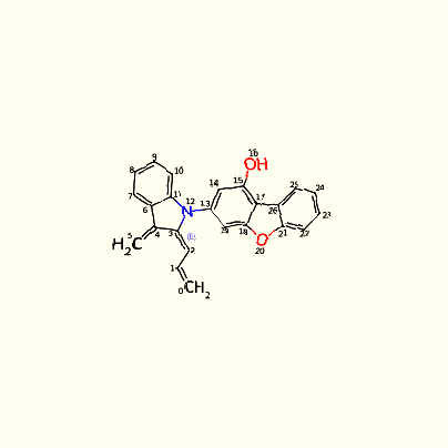 C=C/C=c1\c(=C)c2ccccc2n1-c1cc(O)c2c(c1)oc1ccccc12